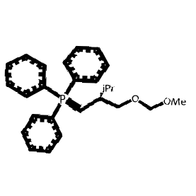 COCOC[C@H](C=P(c1ccccc1)(c1ccccc1)c1ccccc1)C(C)C